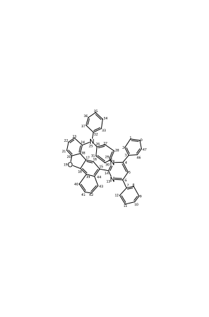 c1ccc(-c2cc(-c3ccccc3)nc(-c3cc4c(oc5cccc(N(c6ccccc6)c6ccccc6)c54)c4ccccc34)n2)cc1